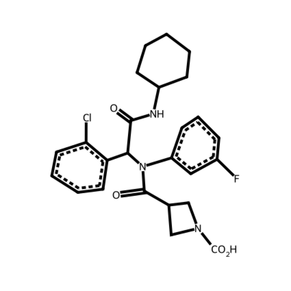 O=C(NC1CCCCC1)C(c1ccccc1Cl)N(C(=O)C1CN(C(=O)O)C1)c1cccc(F)c1